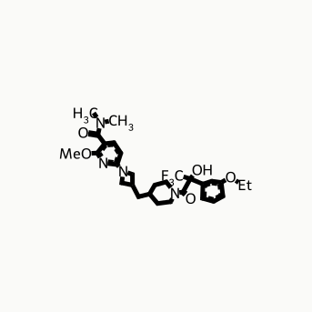 CCOc1cccc(C(O)(C(=O)N2CCC(CC3CN(c4ccc(C(=O)N(C)C)c(OC)n4)C3)CC2)C(F)(F)F)c1